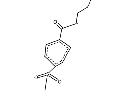 CCC[CH]C(=O)c1ccc(S(C)(=O)=O)cc1